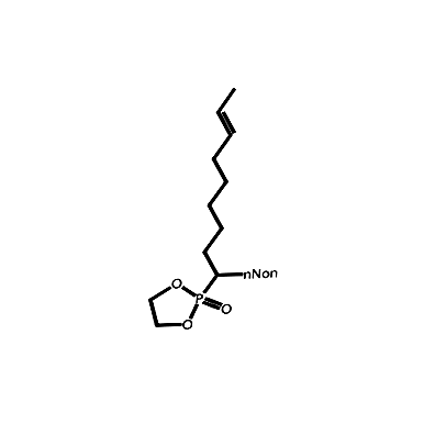 CC=CCCCCCC(CCCCCCCCC)P1(=O)OCCO1